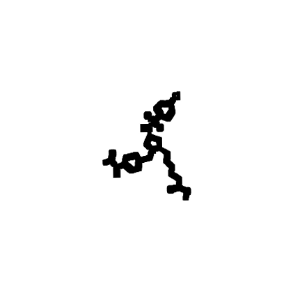 COC(=O)CCCC=C[C@@H]1C[C@@H](NS(=O)(=O)c2ccc(Cl)cc2)CN1Cc1ccc(NC(C)=O)cc1